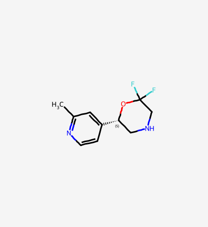 Cc1cc([C@H]2CNCC(F)(F)O2)ccn1